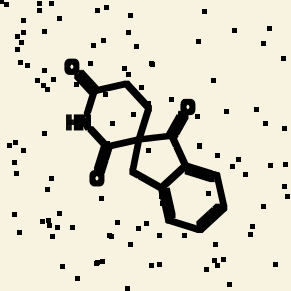 O=C1CCC2(Cc3ccccc3C2=O)C(=O)N1